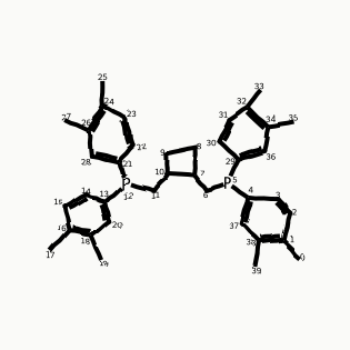 Cc1ccc(P(CC2CCC2CP(c2ccc(C)c(C)c2)c2ccc(C)c(C)c2)c2ccc(C)c(C)c2)cc1C